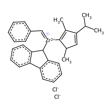 CC1=[C](/[Zr+2](=[CH]/c2ccccc2)[CH]2c3ccccc3-c3ccccc32)C(C)C=C1C(C)C.[Cl-].[Cl-]